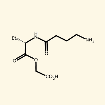 CC[C@H](NC(=O)CCCN)C(=O)OCC(=O)O